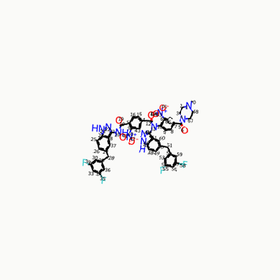 CN1CCN(C(=O)c2ccc(N(C(=O)c3ccc(C(=O)Nc4n[nH]c5ccc(Cc6cc(F)cc(F)c6)cc45)c([N+](=O)[O-])c3)c3n[nH]c4ccc(Cc5cc(F)cc(F)c5)cc34)c([N+](=O)[O-])c2)CC1